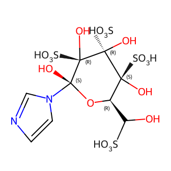 O=S(=O)(O)C(O)[C@H]1O[C@](O)(n2ccnc2)[C@@](O)(S(=O)(=O)O)[C@](O)(S(=O)(=O)O)[C@@]1(O)S(=O)(=O)O